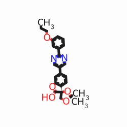 CCCOc1cccc(-c2ncc(-c3ccc([C@@]4(C(=O)O)COC(C)(C)O4)cc3)cn2)c1